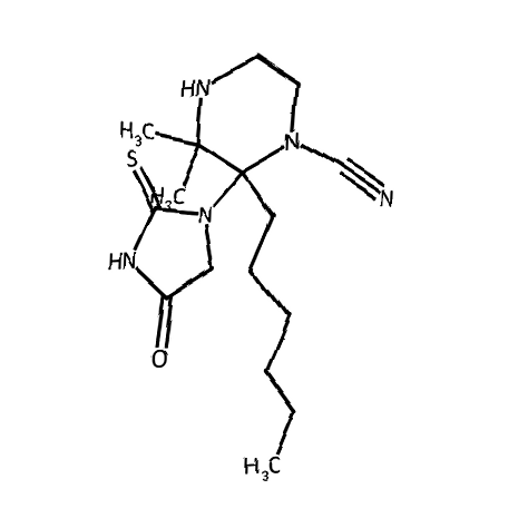 CCCCCCC1(N2CC(=O)NC2=S)N(C#N)CCNC1(C)C